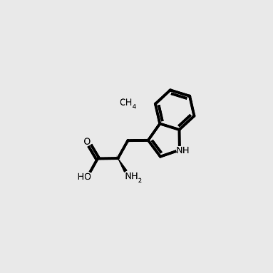 C.N[C@H](Cc1c[nH]c2ccccc12)C(=O)O